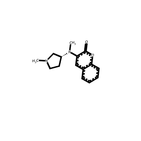 CN1CC[C@@H](N(C)c2cc3ccccc3oc2=O)C1